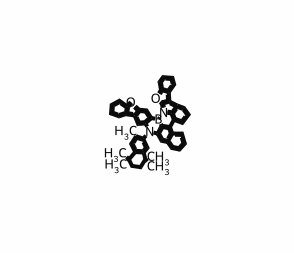 Cc1cc2c(cc1N1c3cc4c(cc3B3c5c1cc1ccccc1c5-c1cccc5c6c7ccccc7oc6n3c15)oc1ccccc14)C(C)(C)CCC2(C)C